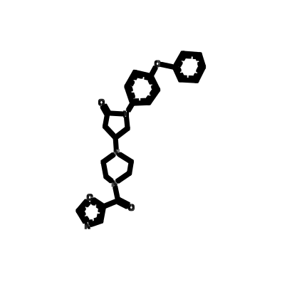 O=C(c1cnco1)N1CCN(C2CC(=O)N(c3ccc(Oc4ccccc4)cc3)C2)CC1